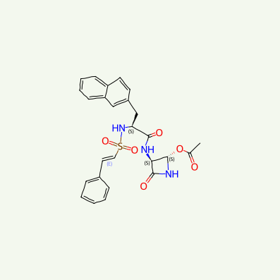 CC(=O)O[C@@H]1NC(=O)[C@H]1NC(=O)[C@H](Cc1ccc2ccccc2c1)NS(=O)(=O)/C=C/c1ccccc1